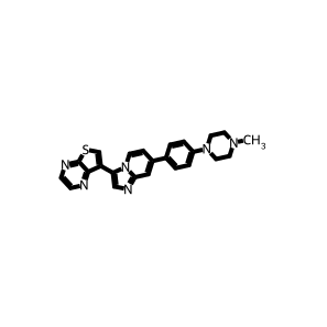 CN1CCN(c2ccc(-c3ccn4c(-c5csc6nccnc56)cnc4c3)cc2)CC1